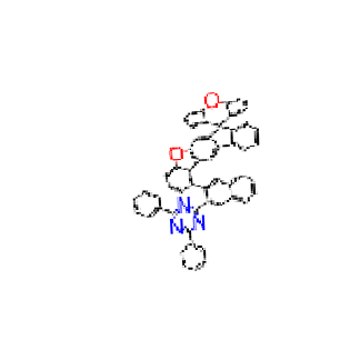 c1ccc(-c2nc(-c3ccccc3)nc(-c3cc4ccccc4cc3-c3cccc4oc5cc6c(cc5c34)-c3ccccc3C63c4ccccc4Oc4ccccc43)n2)cc1